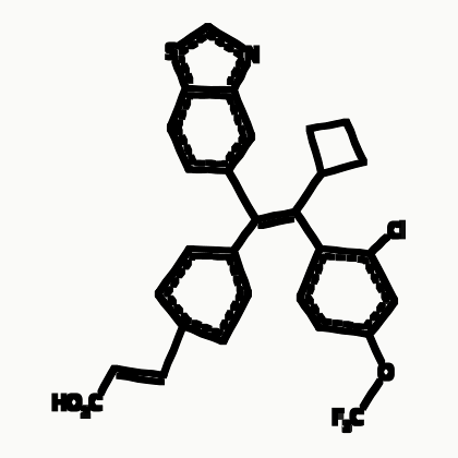 O=C(O)C=Cc1ccc(C(=C(c2ccc(OC(F)(F)F)cc2Cl)C2CCC2)c2ccc3scnc3c2)cc1